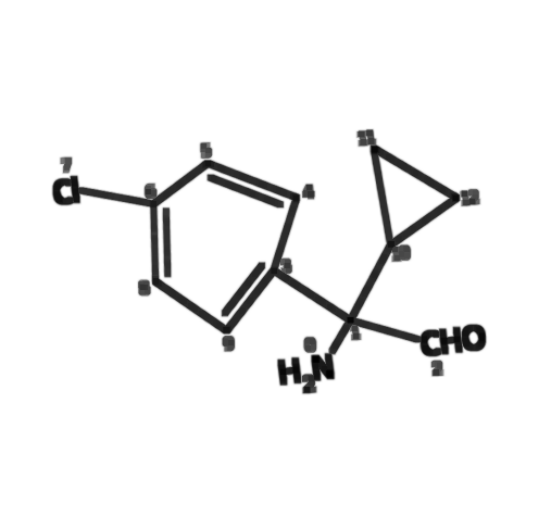 NC(C=O)(c1ccc(Cl)cc1)C1CC1